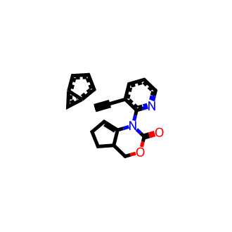 C#Cc1cccnc1N1C(=O)OCC2CCC=C21.c1cc2cc-2c1